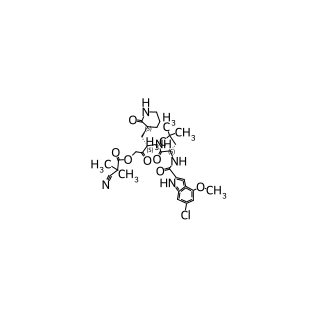 COc1cc(Cl)cc2[nH]c(C(=O)N[C@@H](CC(C)(C)C)C(=O)N[C@@H](C[C@@H]3CCCNC3=O)C(=O)COC(=O)C(C)(C)C#N)cc12